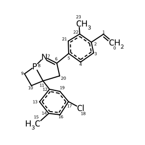 C=Cc1ccc(C2=NP3CCC3(c3cc(C)cc(Cl)c3)C2)cc1C